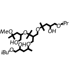 CCC(C)OCC(O)CC(C)OCC(COC(C)(C)CC(O)COC(C)C)C(C)(C)OC(CO)CC(C)(C)OC